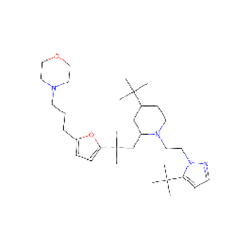 CC(C)(C)c1ccnn1CCN1CCC(C(C)(C)C)CC1CC(C)(C)c1ccc(CCCN2CCOCC2)o1